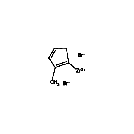 CC1=[C]([Zr+2])CC=C1.[Br-].[Br-]